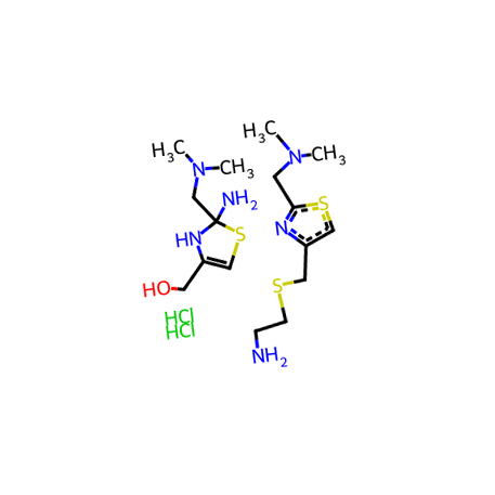 CN(C)CC1(N)NC(CO)=CS1.CN(C)Cc1nc(CSCCN)cs1.Cl.Cl